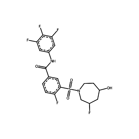 O=C(Nc1cc(F)c(F)c(F)c1)c1ccc(F)c(S(=O)(=O)N2CCC(O)CC(F)C2)c1